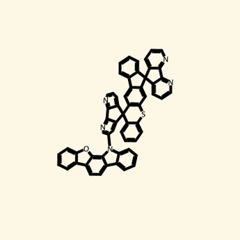 c1ccc2c(c1)Sc1cc3c(cc1C21c2cccnc2-c2ncc(-n4c5ccccc5c5ccc6c7ccccc7oc6c54)cc21)-c1ccccc1C31c2cccnc2-c2ncccc21